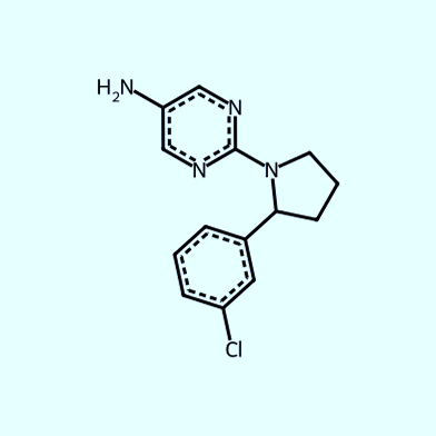 Nc1cnc(N2CCCC2c2cccc(Cl)c2)nc1